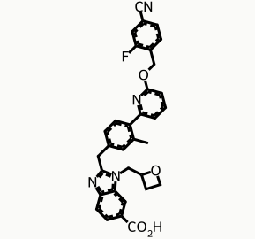 Cc1cc(Cc2nc3ccc(C(=O)O)cc3n2CC2CCO2)ccc1-c1cccc(OCc2ccc(C#N)cc2F)n1